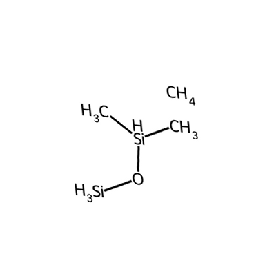 C.C[SiH](C)O[SiH3]